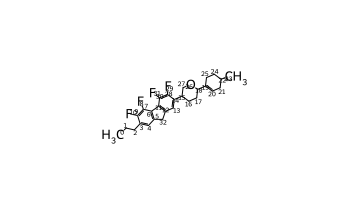 CCCc1cc2c(c(F)c1F)-c1c(cc(C3CCC(C4=CCC(C)CC4)OC3)c(F)c1F)C2